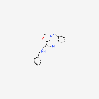 N=C/C(=C\NCc1ccccc1)C1CN(Cc2ccccc2)CCO1